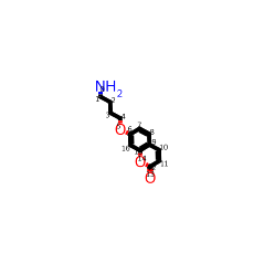 NCCCCOc1ccc2ccc(=O)oc2c1